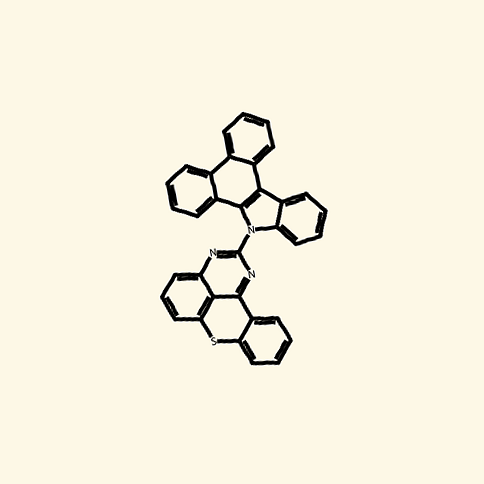 c1ccc2c(c1)Sc1cccc3nc(-n4c5ccccc5c5c6ccccc6c6ccccc6c54)nc-2c13